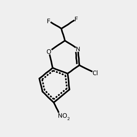 O=[N+]([O-])c1ccc2c(c1)C(Cl)=NC(C(F)F)O2